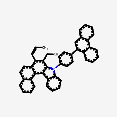 C/C=C\c1c(CC)c2c(c3ccccc3n2-c2ccc(-c3cc4ccccc4c4ccccc34)cc2)c2c1ccc1ccccc12